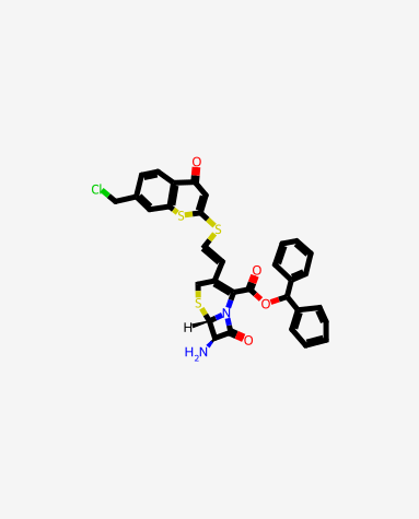 N[C@@H]1C(=O)N2C(C(=O)OC(c3ccccc3)c3ccccc3)=C(C=CSc3cc(=O)c4ccc(CCl)cc4s3)CS[C@@H]12